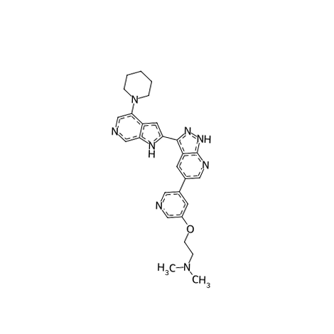 CN(C)CCOc1cncc(-c2cnc3[nH]nc(-c4cc5c(N6CCCCC6)cncc5[nH]4)c3c2)c1